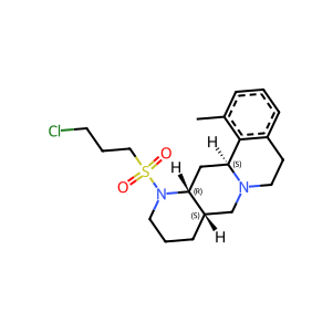 Cc1cccc2c1[C@@H]1C[C@@H]3[C@@H](CCCN3S(=O)(=O)CCCCl)CN1CC2